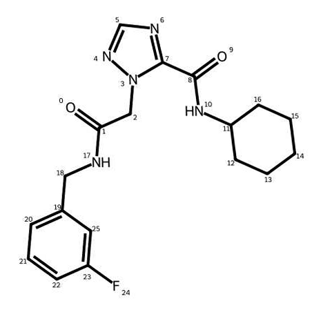 O=C(Cn1ncnc1C(=O)NC1CCCCC1)NCc1cccc(F)c1